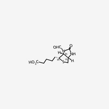 O=CN1C(=O)N[C@@H]2CS[C@H](CCCCC(=O)O)[C@@H]21